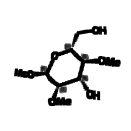 CO[C@H]1O[C@H](CO)[C@@H](OC)[C@H](O)[C@@H]1OC